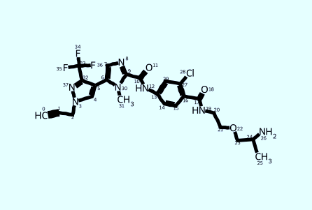 C#CCn1cc(-c2cnc(C(=O)Nc3ccc(C(=O)NCCOCC(C)N)c(Cl)c3)n2C)c(C(F)(F)F)n1